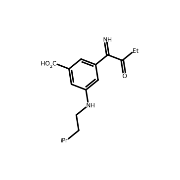 CCC(=O)C(=N)c1cc(NCCC(C)C)cc(C(=O)O)c1